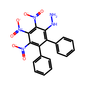 NNc1c(-c2ccccc2)c(-c2ccccc2)c([N+](=O)[O-])c([N+](=O)[O-])c1[N+](=O)[O-]